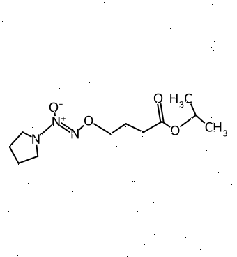 CC(C)OC(=O)CCCO/N=[N+](\[O-])N1CCCC1